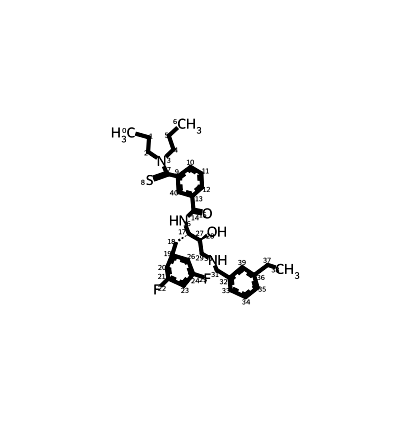 CCCN(CCC)C(=S)c1cccc(C(=O)N[C@@H](Cc2cc(F)cc(F)c2)[C@@H](O)CNCc2cccc(CC)c2)c1